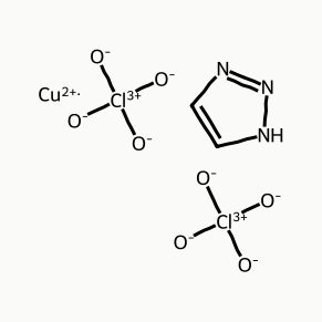 [Cu+2].[O-][Cl+3]([O-])([O-])[O-].[O-][Cl+3]([O-])([O-])[O-].c1c[nH]nn1